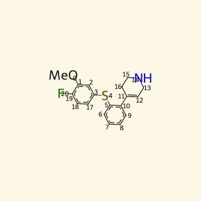 COc1cc(Sc2ccccc2C2=CCNCC2)ccc1F